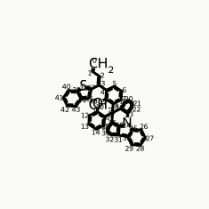 C=C/C=C(/c1cccc2c1Oc1ccccc1C21c2ccccc2-n2c3ccccc3c3cccc1c32)c1sc2ccccc2c1C